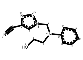 N#Cc1cn(CN(CCO)c2ccccc2)nn1